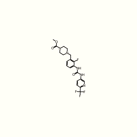 COC(=O)N1CCN(Cc2cccc(NC(=O)Nc3ccc(C(F)(F)F)nc3)c2F)CC1